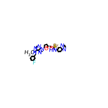 CN(Cc1cccc(F)c1)c1ncnc2c1ncn2[C@H]1CC[C@@H](COC(=S)Nc2ccc3nccnc3c2Br)O1